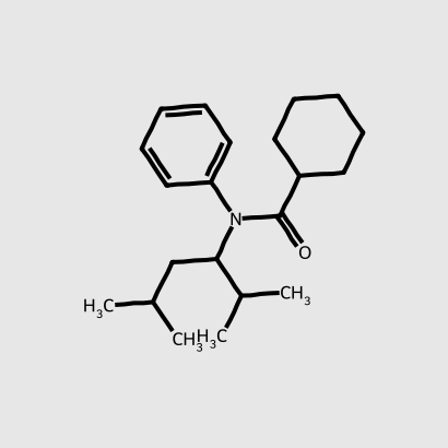 CC(C)CC(C(C)C)N(C(=O)C1CCCCC1)c1ccccc1